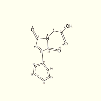 O=C(O)CN1C(=O)C=C(c2ccccc2)C1=O